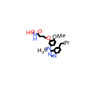 COc1ccc(N(C)c2ncnc3ccc(CC(C)C)cc23)cc1OCCCC(=O)NO